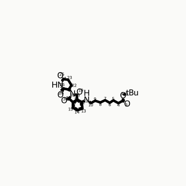 CC(C)(C)OC(=O)CCCCCCCNc1cccc2c1C(=O)N(C1CCC(=O)NC1=O)C2=O